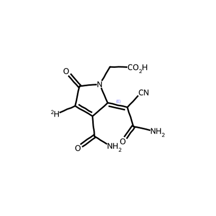 [2H]C1=C(C(N)=O)/C(=C(/C#N)C(N)=O)N(CC(=O)O)C1=O